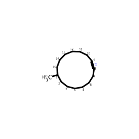 CC1CCCCCC/C=C\CCCCCC1